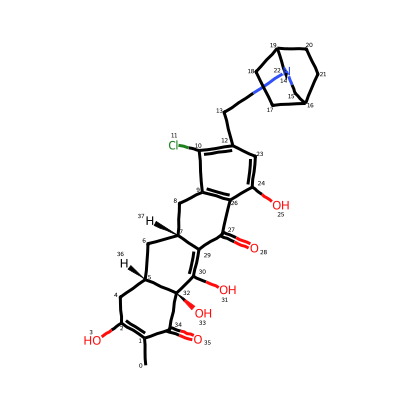 CC1=C(O)C[C@@H]2C[C@@H]3Cc4c(Cl)c(CN5CC6CCC(CC6)C5)cc(O)c4C(=O)C3=C(O)[C@]2(O)C1=O